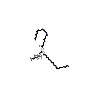 CCCCC/C=C\C/C=C\C/C=C\CCCCCCC(=O)OC[C@H](COP(=O)(O)OCC[N+](C)(C)C)OC(=O)CCCCCCCCC/C=C\CCCCCC